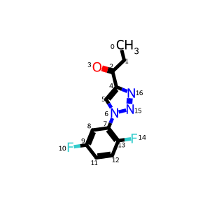 CCC(=O)c1cn(-c2cc(F)ccc2F)nn1